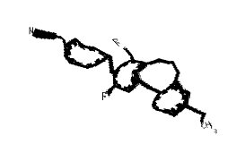 CCc1ccc2c(c1)CCc1c-2cc(F)c(-c2ccc(C#N)cc2)c1F